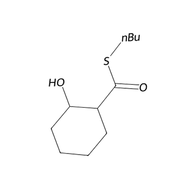 CCCCSC(=O)C1CCCCC1O